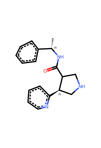 C[C@H](NC(=O)C1CNC[C@H]1c1ccccn1)c1ccccc1